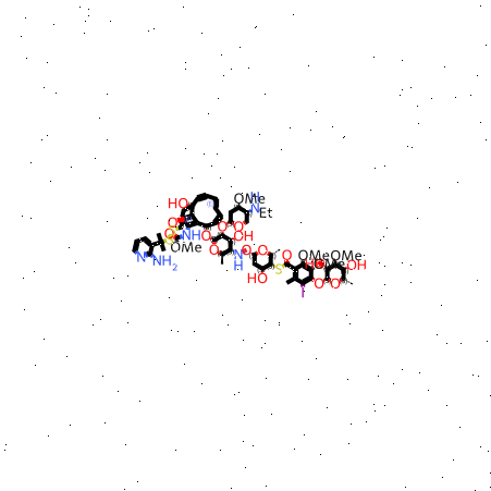 CCN[C@H]1CO[C@@H](O[C@H]2[C@H](O[C@H]3C#C/C=C/C#C[C@]4(O)CC(=O)C(NC(=O)OC)=C3/C4=C\CSSC(C)(C)c3cccnc3N)O[C@H](C)[C@@H](NO[C@H]3C[C@H](O)[C@H](SC(=O)c4c(C)c(I)c(O[C@@H]5O[C@@H](C)[C@H](O)[C@@H](OC)[C@H]5O)c(OC)c4OC)[C@@H](C)O3)[C@@H]2O)C[C@@H]1OC